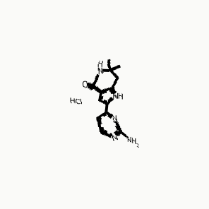 CC1(C)Cc2[nH]c(-c3ccnc(N)n3)cc2C(=O)N1.Cl